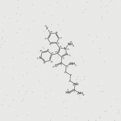 N=C(N)NCCCC(N)C(=O)c1nn(N)c(-c2ccc(F)cc2)c1-c1ccncc1